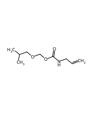 C=CCNC(=O)OCOCC(C)C